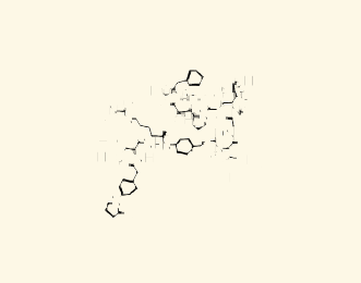 CC[C@H](C)C([C@@H](CC(=O)N1CCC[C@H]1[C@H](OC)[C@@H](C)C(=O)N[C@H](C)Cc1ccccc1)OC)N(C)C(=O)CNC(=O)[C@H](C(C)C)N(C)C(=O)OCc1ccc(NC(=O)C(CCCNC(N)=O)NC(=O)[C@@H](NC(=O)Cc2ccc(N3C(=O)C=CC3=O)cc2)C(C)C)cc1